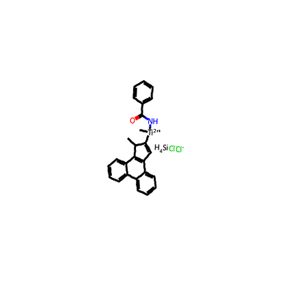 CC1[C]([Ti+2]([CH3])([CH3])[NH]C(=O)c2ccccc2)=Cc2c1c1ccccc1c1ccccc21.[Cl-].[Cl-].[SiH4]